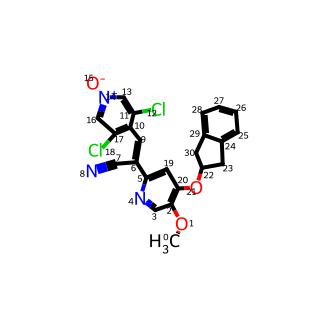 COc1cnc(C(C#N)=Cc2c(Cl)c[n+]([O-])cc2Cl)cc1OC1Cc2ccccc2C1